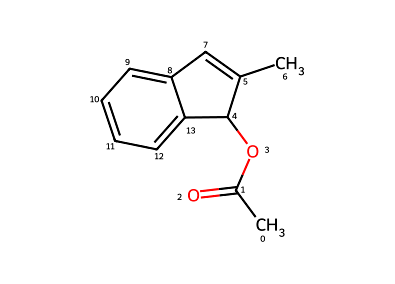 CC(=O)OC1C(C)=Cc2ccccc21